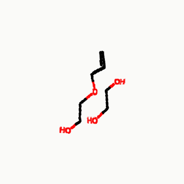 C=CCOCCO.OCCO